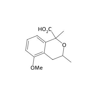 COc1cccc2c1CC(C)OC2(C)C(=O)O